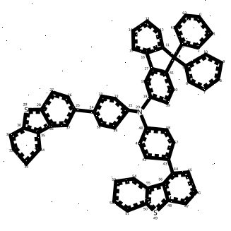 c1ccc(C2(c3ccccc3)c3ccccc3-c3cc(N(c4ccc(-c5ccc6sc7ccccc7c6c5)cc4)c4ccc(-c5cccc6sc7ccccc7c56)cc4)ccc32)cc1